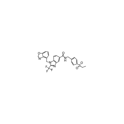 CCS(=O)(=O)c1ccc(CNC(=O)c2ccc3c(c2)nc(C(F)(F)F)n3Cc2cccc3ocnc23)cc1